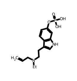 C=CCN(CC)CCc1c[nH]c2cc(OP(=O)(O)O)ccc12